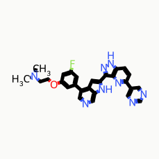 CN(C)CCOc1cc(F)cc(-c2cncc3[nH]c(-c4n[nH]c5ccc(-c6cncnc6)nc45)cc23)c1